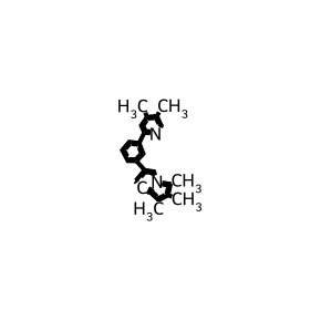 Cc1cnc(-c2cccc(-c3ccc4c(C)c(C)c(C)n4c3)c2)cc1C